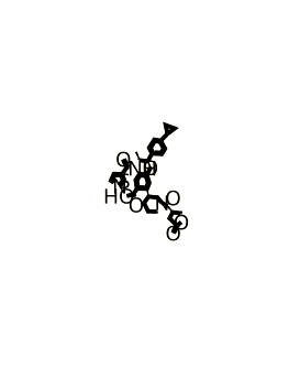 C[C@H](NC(=O)c1ccns1)[C@H](Oc1ccc(C(=O)O)c([C@@H]2CCCN(C(=O)[C@H]3COC(=O)C3)C2)c1)c1ccc(C2CC2)cc1